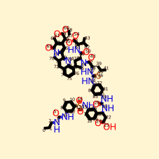 CCCNC(=O)Nc1cccc(S(=O)(=O)Nc2cccc(C(CC(=O)O)NC(=O)Nc3ccc(NC(=S)N[C@@H](CCC)C(=O)N4CCC[C@H]4C(=O)N[C@H](C(=O)O[C@]4(CC)C(=O)OCc5c4cc4n(c5=O)Cc5cc6ccccc6nc5-4)C(C)C)cc3)c2)c1